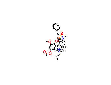 C=CCN1CC[C@]23c4c5c(OC(C)=O)cc(OC)c4O[C@H]2[C@@H](N(C)S(=O)(=O)Cc2ccccc2)CC[C@H]3[C@H]1C5